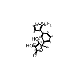 CC1(c2cccc(-c3ccoc3C(F)(F)F)c2)OC(=O)C(O)=C1O